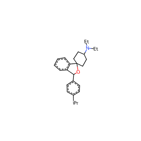 CCN(CC)C1CCC2(CC1)OC(c1ccc(C(C)C)cc1)c1ccccc12